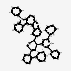 C1=NC(c2ccc3sc4ccc5c(c6ccccc6n5-c5ccccc5)c4c3c2)C(c2nc(-c3ccccc3)nc(-c3ccccc3)n2)C=C1c1ccccc1-c1ccccc1